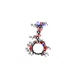 CO[C@H]1C[C@@H]2CC[C@@H](C)[C@@](O)(O2)C(=O)C(=O)N2CCCC[C@H]2C(=O)O[C@H]([C@H](C)C[C@@H]2CC[C@@H](OC(=O)C3C=CC(OC(=O)c4c(I)c(NC(C)=O)c(I)c(NC(C)=O)c4I)=CC3)[C@H](OC)C2)CC(=O)[C@H](C)/C=C(\C)[C@@H](O)[C@@H](OC)C(=O)[C@H](C)C[C@H](C)/C=C/C=C/C=C/1C